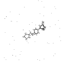 c1cc(-c2c[nH]nn2)ccc1OCC1CCCC1